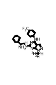 [2H]C([2H])([2H])n1ncc2c(Nc3ccc(C(F)(F)F)cc3)nc(NC[C@H](N)c3ccccc3)nc21